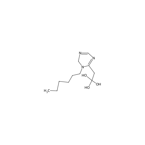 CCCCCCN1CN=CN=C1CC(O)(O)O